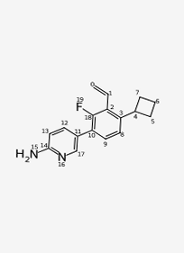 C=Cc1c(C2CCC2)ccc(-c2ccc(N)nc2)c1F